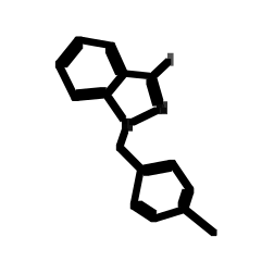 Cc1ccc(Cn2nc(I)c3ccccc32)cc1